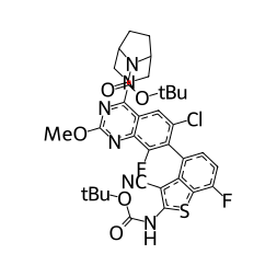 COc1nc(N2CC3CCC(C2)N3C(=O)OC(C)(C)C)c2cc(Cl)c(-c3ccc(F)c4sc(NC(=O)OC(C)(C)C)c(C#N)c34)c(F)c2n1